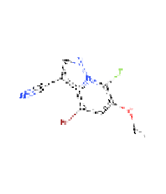 COc1cc(Br)c2c(C#N)cnn2c1F